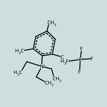 CC[N+](CC)(CC)c1c(C)cc(C)cc1C.F[B-](F)(F)F